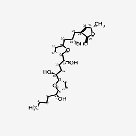 CCCC[C@H](O)[C@H]1CC[C@@H]([C@@H](O)CC[C@H](O)[C@@H]2CC[C@@H](C[C@@H](O)CC3=C[C@H](C)OC3=O)O2)O1